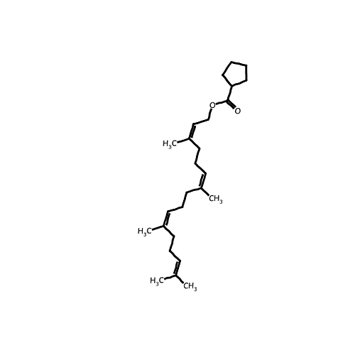 CC(C)=CCCC(C)=CCCC(C)=CCCC(C)=CCOC(=O)C1CCCC1